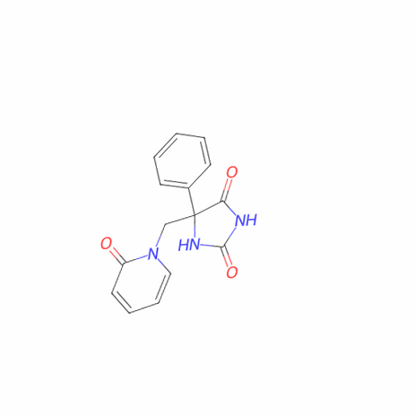 O=C1NC(=O)C(Cn2ccccc2=O)(c2ccccc2)N1